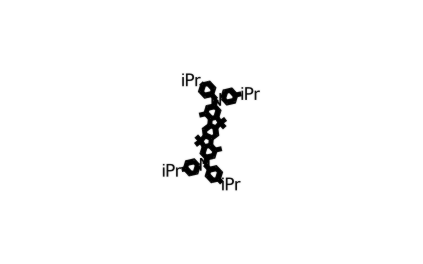 Cc1cc(N(c2ccc(C(C)C)cc2)c2ccc(C(C)C)cc2)cc2c1-c1cc3c(cc1C2(C)C)-c1c(C)cc(N(c2ccc(C(C)C)cc2)c2ccc(C(C)C)cc2)cc1C3(C)C